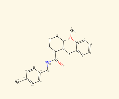 COc1ccccc1CC1CCCCC1C(=O)NCc1ccc(C)cc1